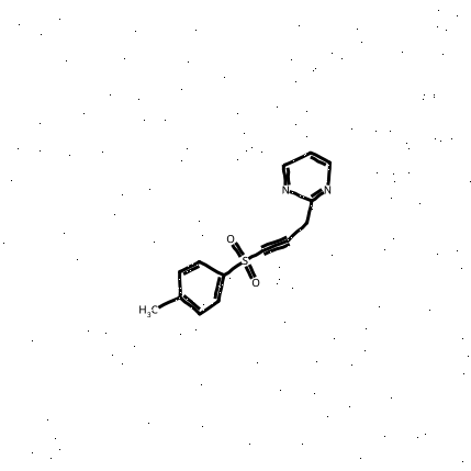 Cc1ccc(S(=O)(=O)C#CCc2ncccn2)cc1